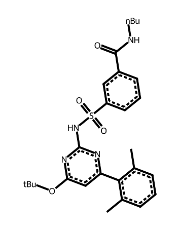 CCCCNC(=O)c1cccc(S(=O)(=O)Nc2nc(OC(C)(C)C)cc(-c3c(C)cccc3C)n2)c1